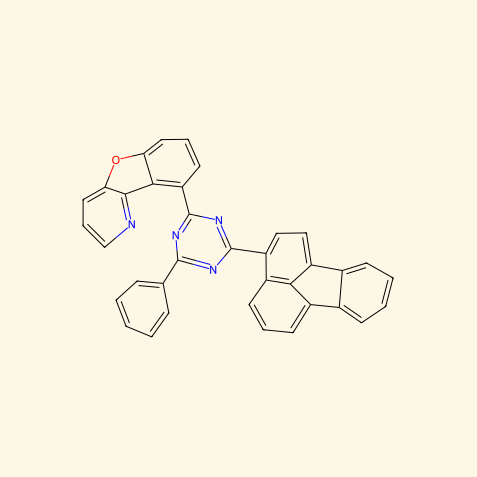 c1ccc(-c2nc(-c3ccc4c5c(cccc35)-c3ccccc3-4)nc(-c3cccc4oc5cccnc5c34)n2)cc1